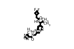 Cc1nonc1C(=O)NCc1cn2ncc(C(NC(=O)CC3CC(F)(F)C3)C(C)C)cc2n1